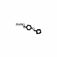 CNOOC1CCC(OCc2ccccc2)CC1